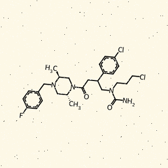 C[C@@H]1CN(Cc2ccc(F)cc2)[C@@H](C)CN1C(=O)CC(CN(CCCCl)C(N)=O)c1ccc(Cl)cc1